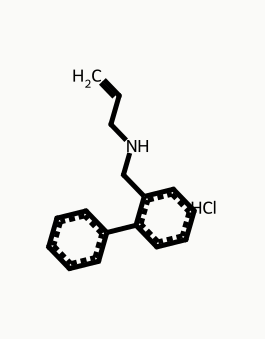 C=CCNCc1ccccc1-c1ccccc1.Cl